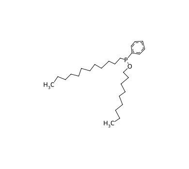 CCCCCCCCCCCCP(OCCCCCCCCC)c1ccccc1